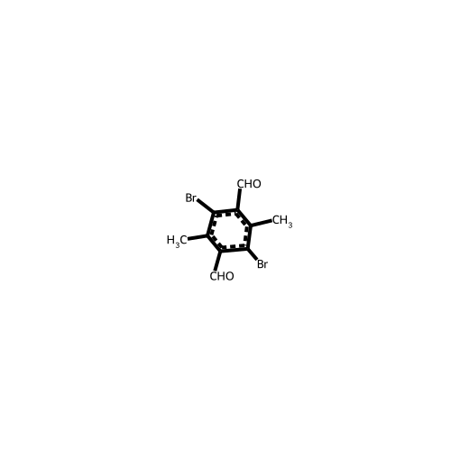 Cc1c(Br)c(C=O)c(C)c(Br)c1C=O